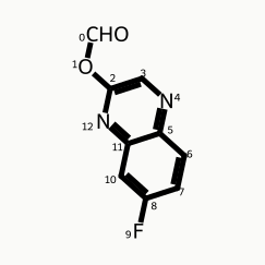 O=COc1cnc2ccc(F)cc2n1